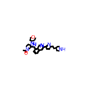 CC(=O)N1CCc2c(c(-c3cccc4cc(-c5ccc(CCC6CCNCC6)nc5)ncc34)nn2C2CCOCC2)C1